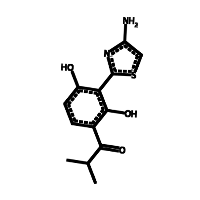 CC(C)C(=O)c1ccc(O)c(-c2nc(N)cs2)c1O